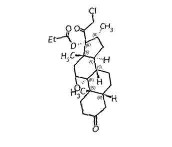 CCC(=O)O[C@]1(C(=O)CCl)[C@H](C)C[C@H]2[C@@H]3CC[C@@H]4CC(=O)CC[C@]4(C)[C@]34OC4C[C@@]21C